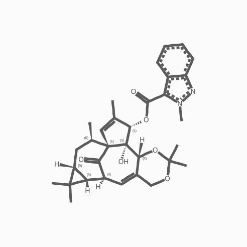 CC1=C[C@]23C(=O)[C@@H](C=C4COC(C)(C)O[C@H]4[C@]2(O)[C@H]1OC(=O)c1c2ccccc2nn1C)[C@H]1[C@@H](C[C@H]3C)C1(C)C